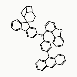 c1ccc2c(c1)-c1ccc(N(c3ccc(-c4c5ccccc5cc5ccccc45)cc3)c3cccc4oc5ccccc5c34)cc1C21CCC2CC3CC1C23